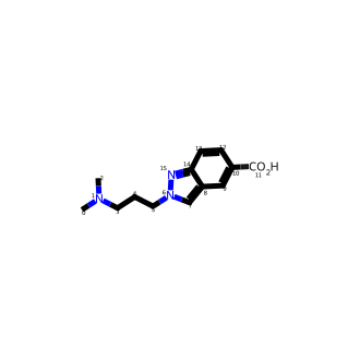 CN(C)CCCn1cc2cc(C(=O)O)ccc2n1